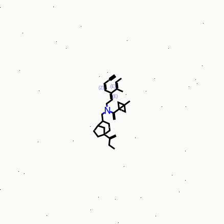 C#C\C=C/C(=C\CN(CC1CCC2(C(=C)CC)CCC1C2)C(=C)C12CC1(C)C2)C(/C)=C/C